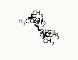 CCC(CC)(CC)O[SiH2]CCC[SiH2]OC(CC)(CC)CC